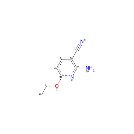 CCOc1ccc(C#N)c(N)n1